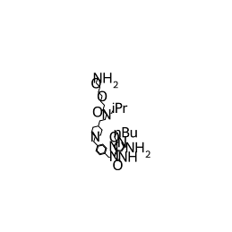 CCCCOc1nc(N)c2[nH]c(=O)n(Cc3ccc(CN4CCC(CCN(CC(C)C)C(=O)CCOCCON)CC4)cc3)c2n1